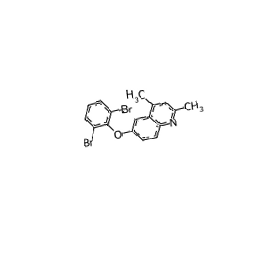 Cc1cc(C)c2cc(Oc3c(Br)cccc3Br)ccc2n1